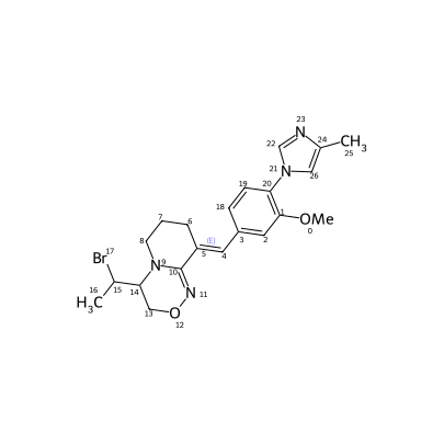 COc1cc(/C=C2\CCCN3C2=NOCC3C(C)Br)ccc1-n1cnc(C)c1